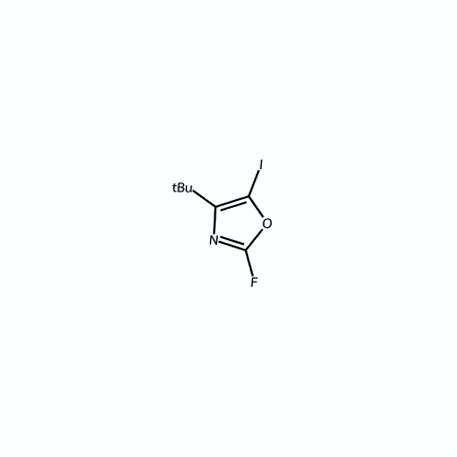 CC(C)(C)c1nc(F)oc1I